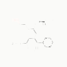 C=C(C)C(=O)O.CCCCCC(=CC(=Cc1ccccc1)C=C(CCCO)C(=O)O)C(=O)O